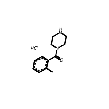 Cc1ccccc1C(=O)N1CCNCC1.Cl